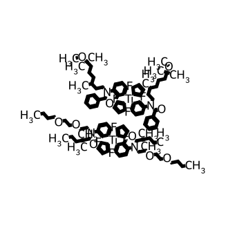 CCCCOCCOCCN(C(=O)C(C)(C)CCC)c1ccc(F)[c]([Ti]([C]2=CC=CC2)([C]2=CC=CC2)[c]2c(F)ccc(N(CCOCCOCCCC)C(=O)C(C)(C)CCC)c2F)c1F.COC(C)(C)CCCC(C)CCN(C(=O)c1ccccc1)c1ccc(F)[c]([Ti]([C]2=CC=CC2)([C]2=CC=CC2)[c]2c(F)ccc(N(CCC(C)CCCC(C)(C)OC)C(=O)c3ccccc3)c2F)c1F